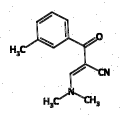 Cc1cccc(C(=O)C(C#N)=CN(C)C)c1